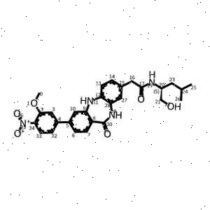 COc1cc(-c2ccc3c(c2)Nc2ccc(CC(=O)N[C@H](CO)CC(C)C)cc2NC3=O)ccc1[N+](=O)[O-]